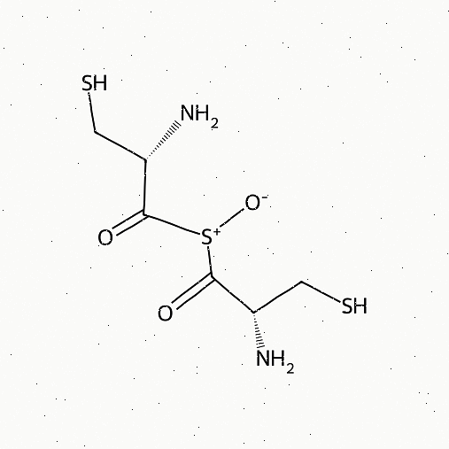 N[C@@H](CS)C(=O)[S+]([O-])C(=O)[C@@H](N)CS